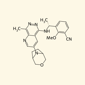 COc1c(C#N)cccc1[C@@H](C)Nc1nnc(C)c2ncc(N3C4CCC3COC4)cc12